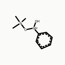 C[Si](C)(C)O[SiH](O)c1ccccc1